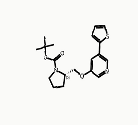 CC(C)(C)OC(=O)N1CCC[C@H]1COc1cncc(-c2cccs2)c1